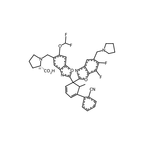 CC1C(c2ccccc2C#N)=CC=CC1(c1nc2cc(CN3CCC[C@H]3C(=O)O)c(OC(F)F)cc2o1)c1nc2cc(CN3CCCC3)c(F)c(F)c2o1